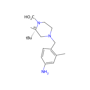 Cc1cc(N)ccc1CN1CCN(C(=O)O)[C@@](C)(C(C)(C)C)C1